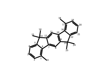 Cc1cccc2c1-c1cc3c(cc1C2(C)C)-c1c(C)cccc1C3(C)C